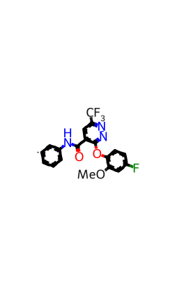 COc1cc(F)ccc1Oc1nnc(C(F)(F)F)cc1C(=O)Nc1c[c]ccc1